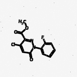 COC(=O)c1nn(-c2ccccc2F)c(=O)cc1Cl